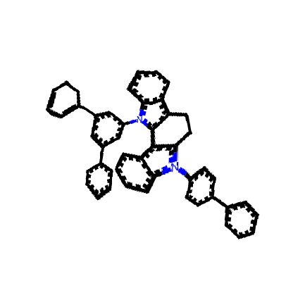 C1=CCCC(c2cc(-c3ccccc3)cc(-n3c4c(c5ccccc53)CCc3c-4c4ccccc4n3-c3ccc(-c4ccccc4)cc3)c2)=C1